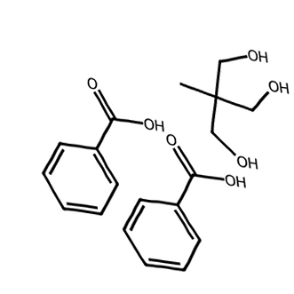 CC(CO)(CO)CO.O=C(O)c1ccccc1.O=C(O)c1ccccc1